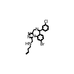 C=CCCNCc1nnc2n1-c1cc(Br)ccc1C(c1cccc(Cl)c1)=NC2